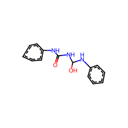 O=C(Nc1ccccc1)NC(O)Nc1ccccc1